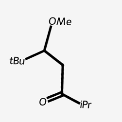 COC(CC(=O)C(C)C)C(C)(C)C